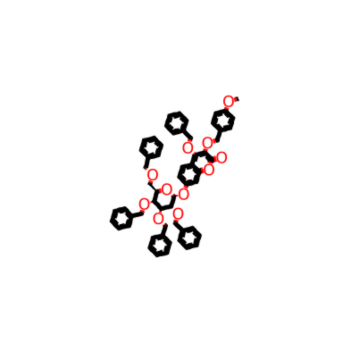 COc1ccc(COc2c(OCc3ccccc3)c3ccc(O[C@H]4O[C@H](COCc5ccccc5)[C@@H](OCc5ccccc5)[C@H](OCc5ccccc5)[C@@H]4OCc4ccccc4)cc3oc2=O)cc1